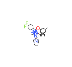 Cc1ccc([C@H](CCN2C3CCC2CC(n2c(C)nnc2C(C)C)C3)NC(=O)C2CCC(F)(F)CC2)cc1